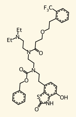 CCN(CC)CCN(CCN(CCc1ccc(O)c2[nH]c(=O)sc12)C(=O)OCc1ccccc1)C(=O)CCOCCc1ccccc1C(F)(F)F